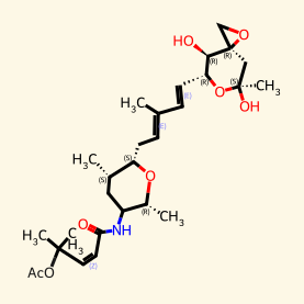 CC(=O)OC(C)(C)/C=C\C(=O)NC1C[C@H](C)[C@H](C/C=C(C)/C=C/[C@H]2O[C@](C)(O)C[C@@]3(CO3)[C@@H]2O)O[C@@H]1C